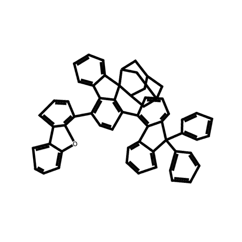 c1ccc(C2(c3ccccc3)c3ccccc3-c3c(-c4ccc(-c5cccc6c5oc5ccccc56)c5c4C4(c6ccccc6-5)C5CC6CC(C5)CC4C6)cccc32)cc1